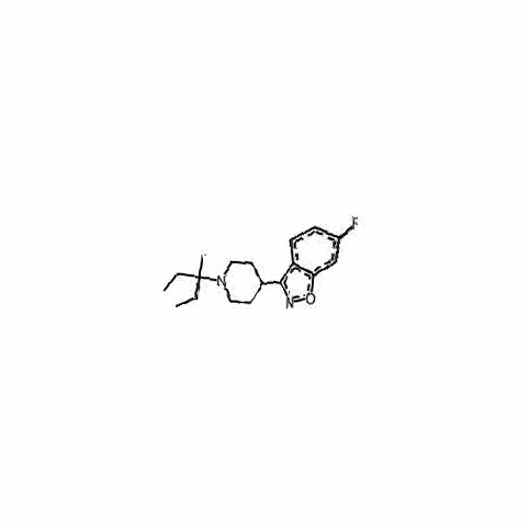 [CH2]C(CC)(CC)N1CCC(c2noc3cc(F)ccc23)CC1